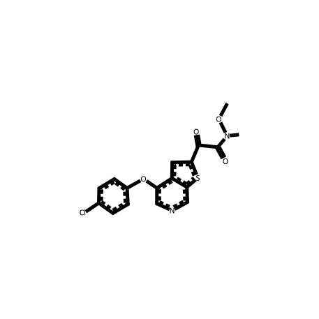 CON(C)C(=O)C(=O)c1cc2c(Oc3ccc(Cl)cc3)cncc2s1